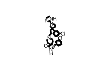 O=C1NCN(c2ccccc2)C12CCN(CCCC1(c3ccc(Cl)c(Cl)c3)CCN(C3=NCCN3)C1)CC2